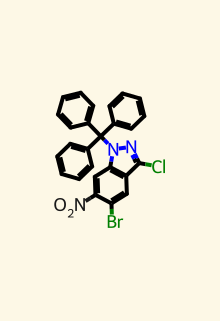 O=[N+]([O-])c1cc2c(cc1Br)c(Cl)nn2C(c1ccccc1)(c1ccccc1)c1ccccc1